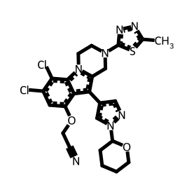 Cc1nnc(N2CCn3c(c(-c4cnn(C5CCCCO5)c4)c4c(OCC#N)cc(Cl)c(Cl)c43)C2)s1